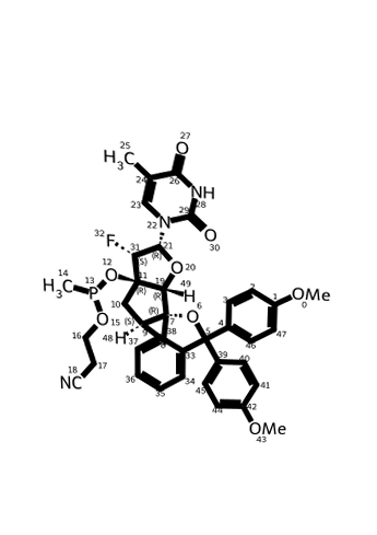 COc1ccc(C(O[C@]23C[C@H]2C[C@@]2(OP(C)OCCC#N)[C@@H]3O[C@@H](n3cc(C)c(=O)[nH]c3=O)[C@H]2F)(c2ccccc2)c2ccc(OC)cc2)cc1